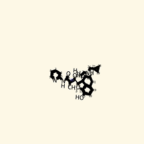 C/C(C(=O)Nc1ccccn1)=C(/O)[C@@H]1Oc2c(O)ccc3c2[C@@]12CCN(CC1CC1)[C@H](C3)[C@@]2(C)O